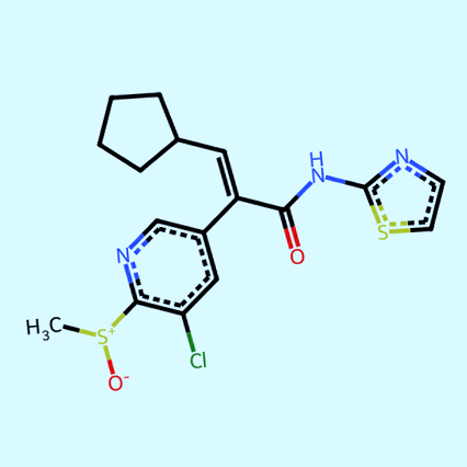 C[S+]([O-])c1ncc(/C(=C\C2CCCC2)C(=O)Nc2nccs2)cc1Cl